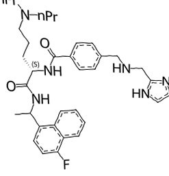 CCCN(CCC)CCC[C@H](NC(=O)c1ccc(CNCc2ncc[nH]2)cc1)C(=O)NC(C)c1ccc(F)c2ccccc12